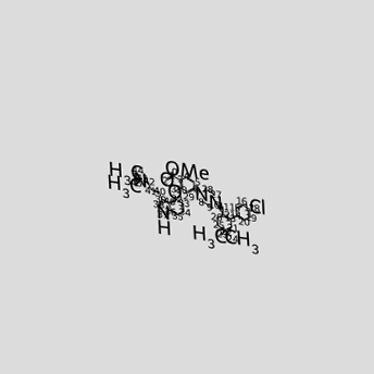 COC(=O)c1ccc(N2CCN(CC3=C(c4ccc(Cl)cc4)CC(C)(C)CC3)CC2)cc1Oc1cccc2[nH]cc(CCCN(C)C)c12